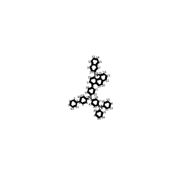 c1ccc(-c2ccc(N(c3ccc(-c4ccc5c6c4ccc4cccc(c46)n5-c4ccc5ccccc5c4)cc3)c3ccc(N(c4ccccc4)c4ccccc4)cc3)cc2)cc1